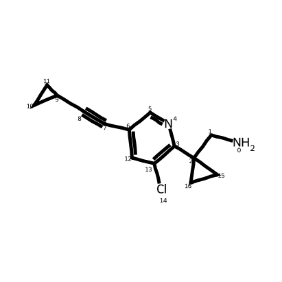 NCC1(c2ncc(C#CC3CC3)cc2Cl)CC1